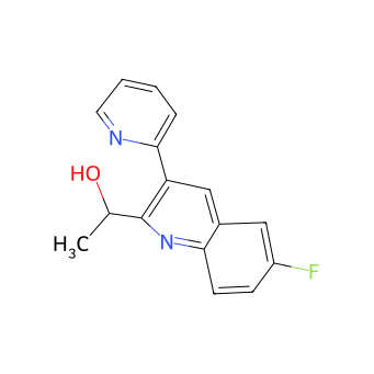 CC(O)c1nc2ccc(F)cc2cc1-c1ccccn1